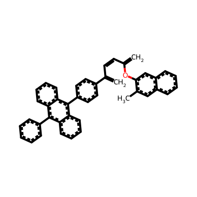 C=C(/C=C\C(=C)c1ccc(-c2c3ccccc3c(-c3ccccc3)c3ccccc23)cc1)Oc1cc2ccccc2cc1C